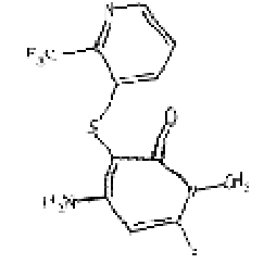 Cn1c(F)cc(N)c(Sc2cccnc2C(F)(F)F)c1=O